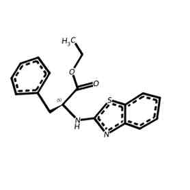 CCOC(=O)[C@H](Cc1ccccc1)Nc1nc2ccccc2s1